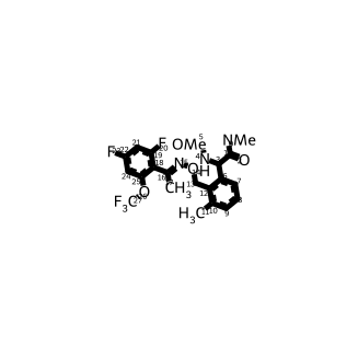 CNC(=O)C(NOC)c1cccc(C)c1CO/N=C(\C)c1c(F)cc(F)cc1OC(F)(F)F